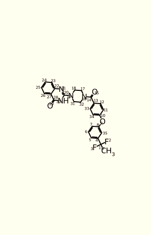 CC(F)(F)c1cccc(Oc2ccc(C(=O)N3CCN(c4nc5ccccc5c(=O)[nH]4)CC3)cc2)c1